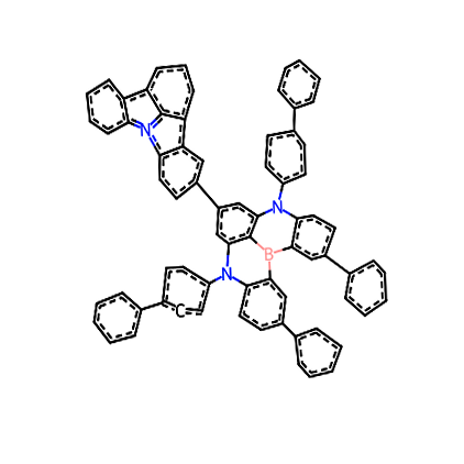 c1ccc(-c2ccc(N3c4ccc(-c5ccccc5)cc4B4c5cc(-c6ccccc6)ccc5N(c5ccc(-c6ccccc6)cc5)c5cc(-c6ccc7c(c6)c6cccc8c9ccccc9n7c86)cc3c54)cc2)cc1